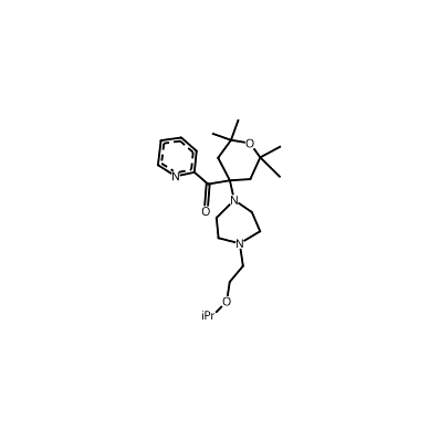 CC(C)OCCN1CCN(C2(C(=O)c3ccccn3)CC(C)(C)OC(C)(C)C2)CC1